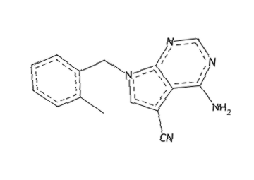 Cc1ccccc1Cn1cc(C#N)c2c(N)ncnc21